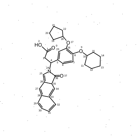 O=C(O)CC(c1ccc(OC2CCCCC2)c(OC2CCCC2)c1)N1C=C2C=c3ccccc3=CC2C1=O